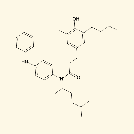 CCCCc1cc(CCC(=O)N(c2ccc(Nc3ccccc3)cc2)C(C)CCC(C)C)cc(I)c1O